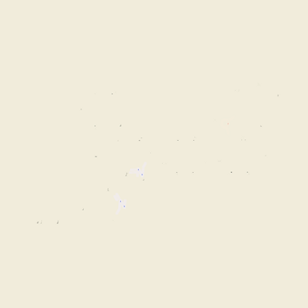 c1ccc(-c2ccnc3c2ccc2c(-c4ccccc4)cc(-c4ccc(-c5cccc6c5oc5ccccc56)cc4)nc23)cc1